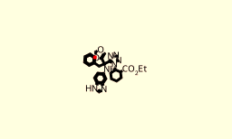 CCOC(=O)C1CCCCC1n1nnnc1C(Cc1ccccc1)(Nc1ccc2[nH]cnc2c1)C1=COCO1